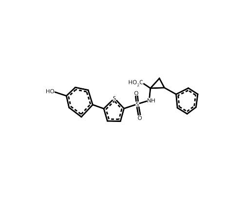 O=C(O)C1(NS(=O)(=O)c2ccc(-c3ccc(O)cc3)s2)CC1c1ccccc1